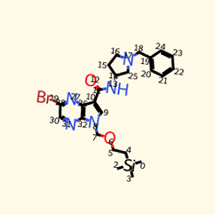 C[Si](C)(C)CCOCn1cc(C(=O)N[C@@H]2CCN(Cc3ccccc3)C2)c2nc(Br)cnc21